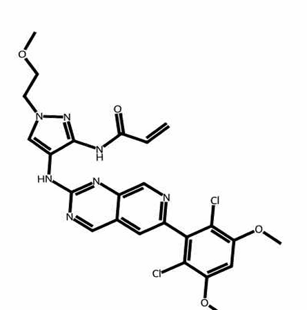 C=CC(=O)Nc1nn(CCOC)cc1Nc1ncc2cc(-c3c(Cl)c(OC)cc(OC)c3Cl)ncc2n1